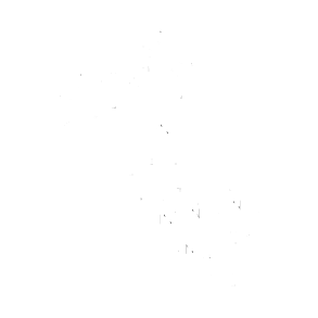 CN(C)c1nc(NC2CCC(CNCCc3ccccc3OCc3ccccc3)CC2)nc2ccccc12